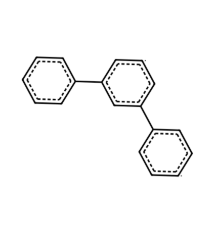 [c]1ccc(-c2c[c]cc(-c3ccccc3)c2)cc1